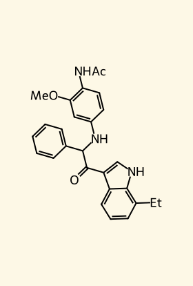 CCc1cccc2c(C(=O)C(Nc3ccc(NC(C)=O)c(OC)c3)c3ccccc3)c[nH]c12